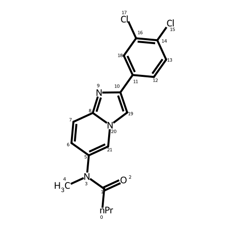 CCCC(=O)N(C)c1ccc2nc(-c3ccc(Cl)c(Cl)c3)cn2c1